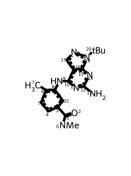 CNC(=O)c1ccc(C)c(Nc2nc(N)nc3c2cnn3C(C)(C)C)c1